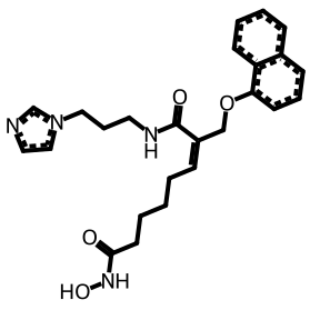 O=C(CCCCC=C(COc1cccc2ccccc12)C(=O)NCCCn1ccnc1)NO